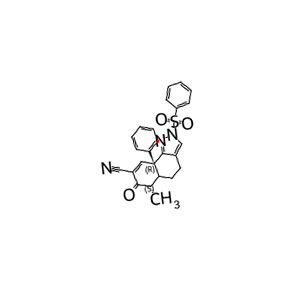 C[C@@H]1C(=O)C(C#N)=C[C@]2(c3ccccc3)c3nn(S(=O)(=O)c4ccccc4)cc3CCC12